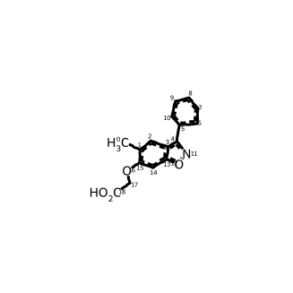 Cc1cc2c(-c3ccccc3)noc2cc1OCC(=O)O